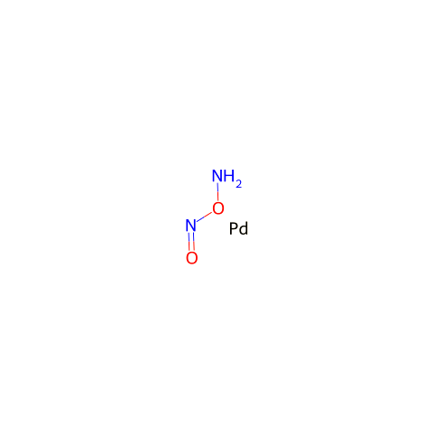 NON=O.[Pd]